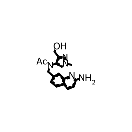 CC(=O)N(Cc1ccc2ccc(N)nc2c1)c1cn(C)nc1CO